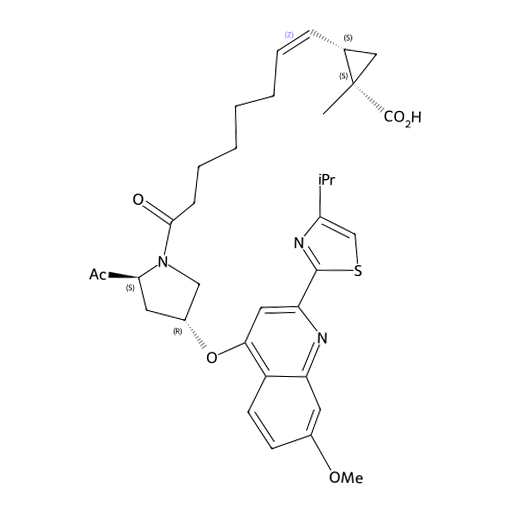 COc1ccc2c(O[C@@H]3C[C@@H](C(C)=O)N(C(=O)CCCCC/C=C\[C@@H]4C[C@]4(C)C(=O)O)C3)cc(-c3nc(C(C)C)cs3)nc2c1